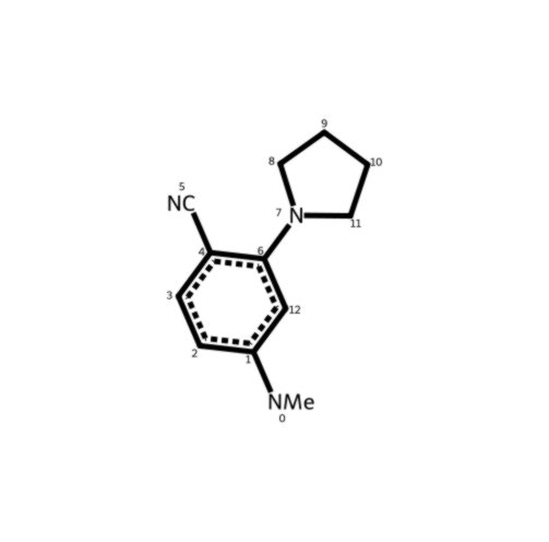 CNc1ccc(C#N)c(N2CCCC2)c1